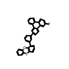 Fc1ccc2c3ccccc3c3cc(-c4cccc(-c5cccc6c5Oc5ccccc5S6)c4)ccc3c2c1